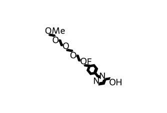 COCCOCCOCCOCCOC[C@@]1(F)CC=C(c2nccc(CO)n2)CC1